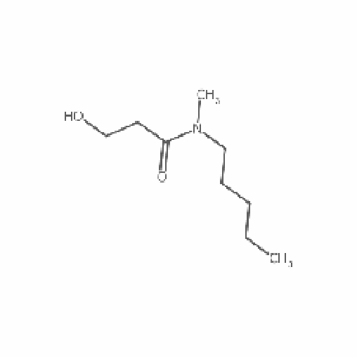 CCCCCN(C)C(=O)CCO